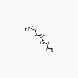 C=CCSSCCCCC